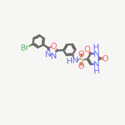 O=c1[nH]cc(S(=O)(=O)Nc2cccc(-c3nnc(-c4cccc(Br)c4)o3)c2)c(=O)[nH]1